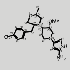 CO[C@H]1CN(c2n[nH]c(N)n2)CC[C@@H]1N1C[C@H](C)OCC1Cc1ccc(Cl)cc1